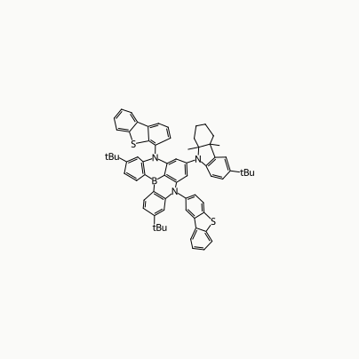 CC(C)(C)c1ccc2c(c1)N(c1ccc3sc4ccccc4c3c1)c1cc(N3c4ccc(C(C)(C)C)cc4C4(C)CCCCC34C)cc3c1B2c1ccc(C(C)(C)C)cc1N3c1cccc2c1sc1ccccc12